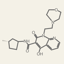 C[C@H]1CCC(NC(=O)c2c(O)c3cccnc3n(CCN3CCOCC3)c2=O)C1